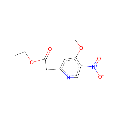 CCOC(=O)Cc1cc(OC)c([N+](=O)[O-])cn1